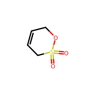 O=S1(=O)CC=CCO1